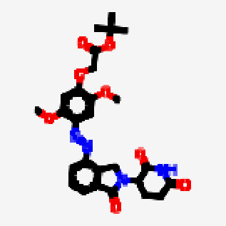 COc1cc(OCC(=O)OC(C)(C)C)c(OC)cc1/N=N/c1cccc2c1CN(C1CCC(=O)NC1=O)C2=O